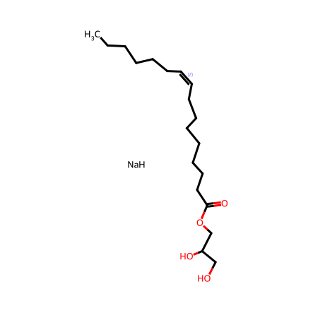 CCCCCC/C=C\CCCCCCCC(=O)OCC(O)CO.[NaH]